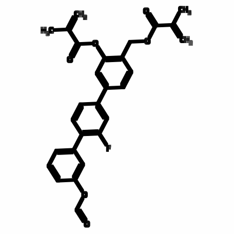 C=C(C)C(=O)OCc1ccc(-c2ccc(-c3cccc(OC=O)c3)c(F)c2)cc1OC(=O)C(=C)C